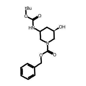 CC(C)(C)OC(=O)NC1C[C@@H](O)CN(C(=O)OCc2ccccc2)C1